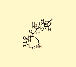 C[C@@H]1NCONCCC[C@@H](C(=O)N[C@@H](N)B2O[C@@H]3C[C@@H]4C[C@@H](C4(C)C)[C@]3(C)O2)NC1=O